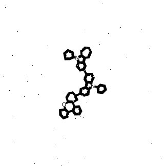 C1=Cc2c(n(-c3ccccc3)c3ccc(-c4ccc5c(c4)c4cc(C6=CC7=C(C=CC6)Oc6ccccc6-c6ccccc67)ccc4n5-c4ccccc4)cc23)C=CC1